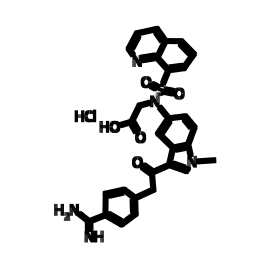 Cl.Cn1cc(C(=O)Cc2ccc(C(=N)N)cc2)c2cc(N(CC(=O)O)S(=O)(=O)c3cccc4cccnc34)ccc21